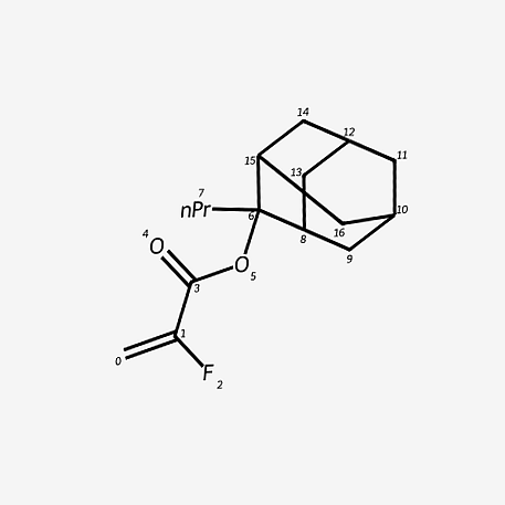 C=C(F)C(=O)OC1(CCC)C2CC3CC(C2)CC1C3